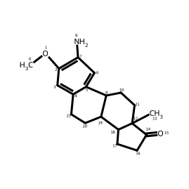 COc1cc2c(cc1N)C1CCC3(C)C(=O)CCC3C1CC2